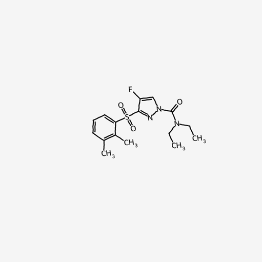 CCN(CC)C(=O)n1cc(F)c(S(=O)(=O)c2cccc(C)c2C)n1